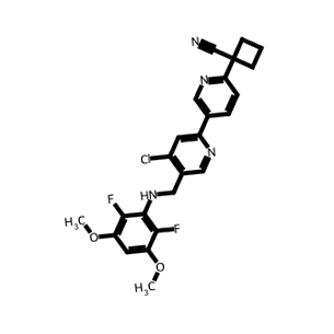 COc1cc(OC)c(F)c(NCc2cnc(-c3ccc(C4(C#N)CCC4)nc3)cc2Cl)c1F